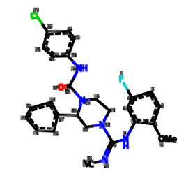 COc1ccc(F)cc1N/C(=N/C#N)N1CCN(C(=O)Nc2ccc(Cl)cc2)C(c2ccccc2)C1